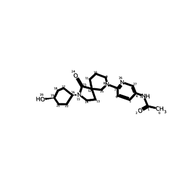 CC(=O)Nc1ccc(N2CCCC3(CCN([C@H]4CC[C@H](O)CC4)C3=O)C2)nc1